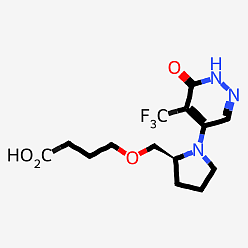 O=C(O)CCCOC[C@@H]1CCCN1c1cn[nH]c(=O)c1C(F)(F)F